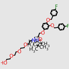 CC(C)(C)[Si](C)(C)O[C@H](CNCCOCCOCCOCCO)COc1ccc(OCc2ccc(F)cc2)c(OCc2ccc(F)cc2)c1